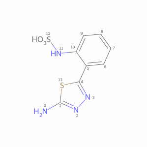 Nc1nnc(-c2ccccc2NS(=O)(=O)O)s1